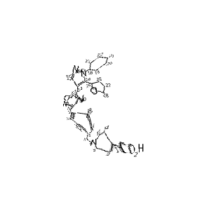 O=C(O)C1CCN(Cc2ccc(-c3noc(-c4cnn(C5CCCCC5)c4C4CCCO4)n3)cc2)CC1